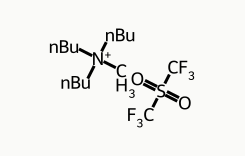 CCCC[N+](C)(CCCC)CCCC.O=S(=O)(C(F)(F)F)C(F)(F)F